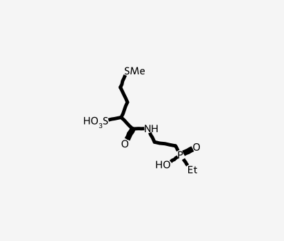 CCP(=O)(O)CCNC(=O)C(CCSC)S(=O)(=O)O